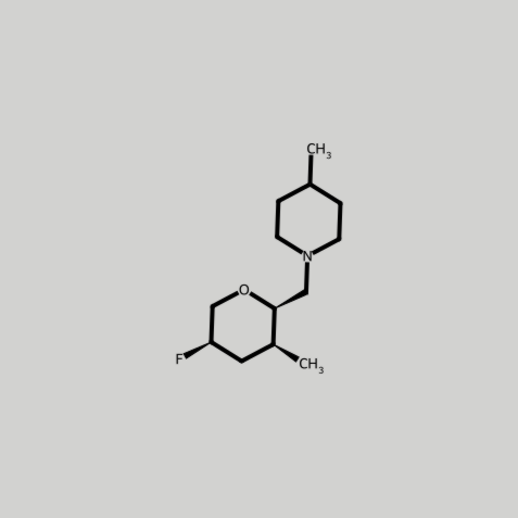 CC1CCN(C[C@@H]2OC[C@H](F)C[C@@H]2C)CC1